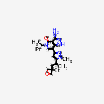 C=C(CC1(CC)COC1)c1cc(-c2cn([C@@H](C)C(C)C)c(=O)c3c(N)n[nH]c23)nn1C